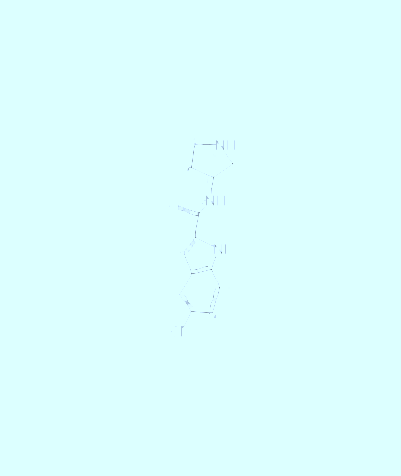 O=C(NC1CCNC1)c1cc2cc(Cl)ccc2[nH]1